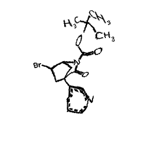 CC(C)(C)OC(=O)N1C(=O)C2(c3cccnc3)CC(Br)C1C2